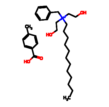 CCCCCCCCCCCC[N+](CCO)(CCO)Cc1ccccc1.Cc1ccc(C(=O)O)cc1